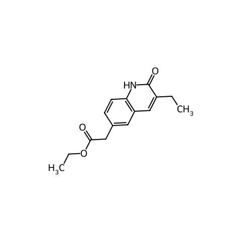 CCOC(=O)Cc1ccc2[nH]c(=O)c(CC)cc2c1